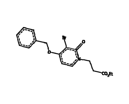 CCOC(=O)CCn1ccc(OCc2ccccc2)c(Br)c1=O